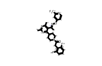 C/C(=N\Oc1ccnc(C(F)(F)F)c1)c1c(C)nc(C)nc1C1CCN(C(=O)Cc2c(F)cccc2F)CC1